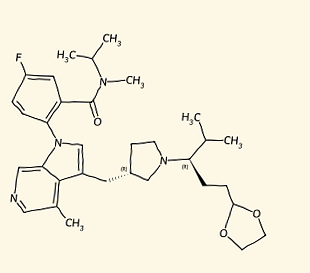 Cc1cncc2c1c(C[C@@H]1CCN([C@H](CCC3OCCO3)C(C)C)C1)cn2-c1ccc(F)cc1C(=O)N(C)C(C)C